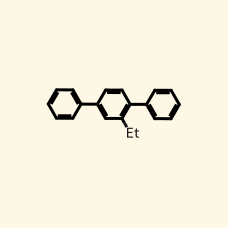 CCc1cc(-c2ccccc2)ccc1-c1ccccc1